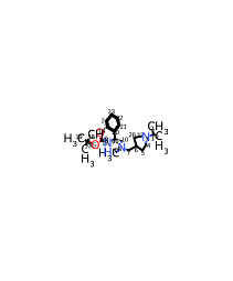 CC(C)N1CCC(CN(C)C[C@H](NC(=O)OC(C)(C)C)c2ccccc2)CC1